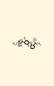 CC(C)c1ccccc1Oc1cc(F)c(C(=O)NS(C)(=O)=O)cc1F